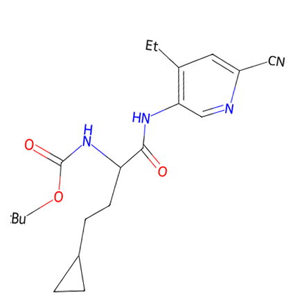 CCc1cc(C#N)ncc1NC(=O)C(CCC1CC1)NC(=O)OC(C)(C)C